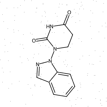 O=C1CCN(n2ncc3ccccc32)C(=O)N1